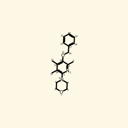 Cc1nc(N2CCOCC2)c(C)c(C)c1OCc1ccccc1